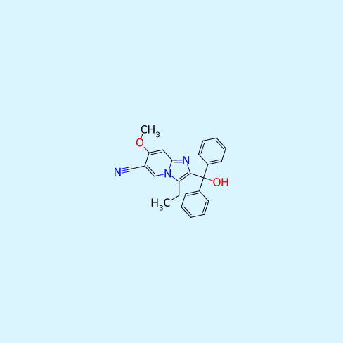 CCc1c(C(O)(c2ccccc2)c2ccccc2)nc2cc(OC)c(C#N)cn12